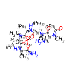 CCCC(=O)N(C)[C@H](CN)C(=O)N(C)[C@@H](CC(C)C)C(=O)N[C@H](C(=O)N(C)[C@@H](CC(C)C)C(=O)N[C@H](C)C(N)=O)C(C)C